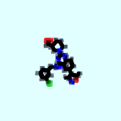 Cc1noc(C)c1-c1ccc2nc(N3CCCC(CO)C3)nc(NCc3cccc(Cl)c3)c2c1